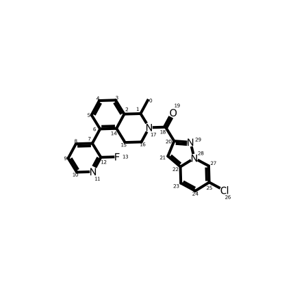 CC1c2cccc(-c3cccnc3F)c2CCN1C(=O)c1cc2ccc(Cl)cn2n1